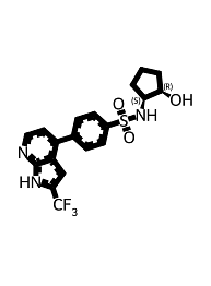 O=S(=O)(N[C@H]1CCC[C@H]1O)c1ccc(-c2ccnc3[nH]c(C(F)(F)F)cc23)cc1